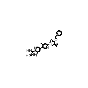 Cc1cc(OCC2(C(=O)OCc3ccccc3)CC2)ncc1-c1cnc(C(=N)NO)c(F)c1